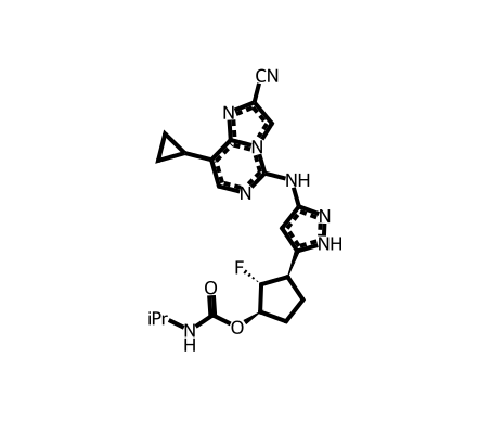 CC(C)NC(=O)O[C@@H]1CC[C@H](c2cc(Nc3ncc(C4CC4)c4nc(C#N)cn34)n[nH]2)[C@H]1F